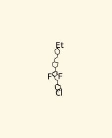 CCC1CCC(CCC2CCC(c3cc(F)c(CCc4ccc(Cl)cc4)c(F)c3)CC2)CC1